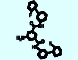 Nc1cc(C(=O)Nc2cccc(-c3ccccc3F)c2)cc(C(=O)Nc2cccc(-c3ccccc3F)c2)c1